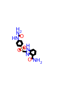 NC(=O)Nc1ccc(S(=O)(=O)Cc2nc3c(C(N)=O)cccc3[nH]2)cc1